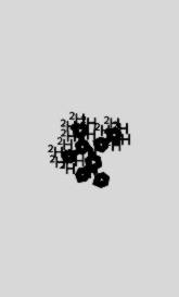 [2H]c1c([2H])c([2H])c(-c2ccc(N(c3cc(-c4c([2H])c([2H])c([2H])c([2H])c4[2H])cc(-c4c([2H])c([2H])c([2H])c([2H])c4[2H])c3)c3ccc4c(c3)c3ccccc3n4-c3ccccc3)cc2)c([2H])c1[2H]